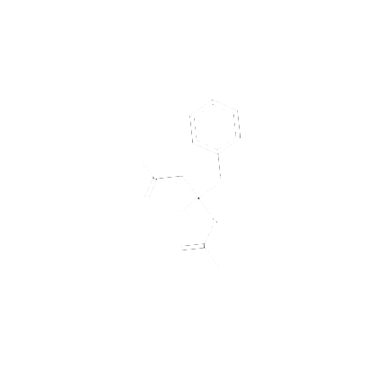 CC(=O)NC(S)(CC(=O)O)Oc1ccccc1